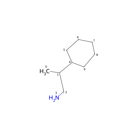 CC([CH]N)C1CCCCC1